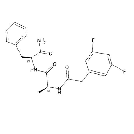 C[C@H](NC(=O)Cc1cc(F)cc(F)c1)C(=O)N[C@@H](Cc1ccccc1)C(N)=O